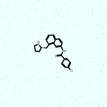 O=C(Nc1ccc2cccc(C[C@H]3CCCN3)c2c1)c1ccc(Cl)cc1